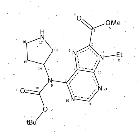 CCn1c(C(=O)OC)nc2c(N(C(=O)OC(C)(C)C)C3CCNC3)ncnc21